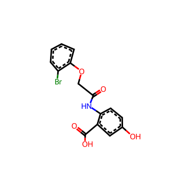 O=C(COc1ccccc1Br)Nc1ccc(O)cc1C(=O)O